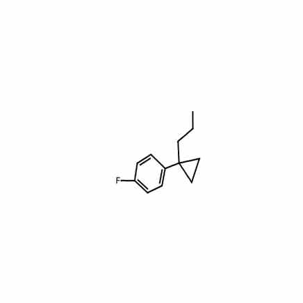 CCCC1(c2ccc(F)cc2)CC1